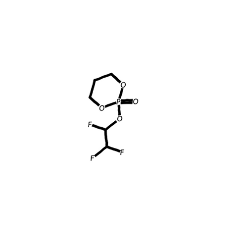 O=P1(OC(F)C(F)F)OCCCO1